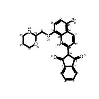 O=C1c2ccccc2C(=O)C1c1ccc2c(Br)ccc(OCC3OCCCO3)c2n1